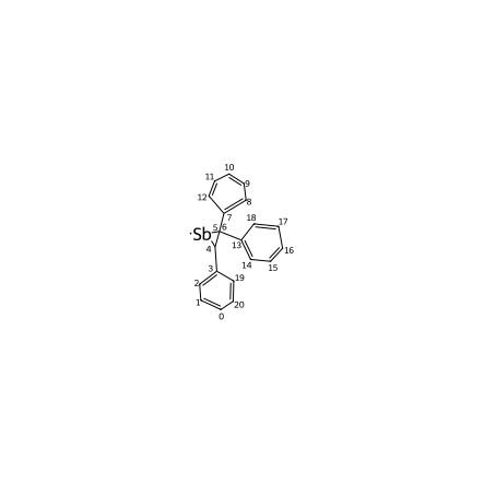 c1ccc([CH]2[Sb][C]2(c2ccccc2)c2ccccc2)cc1